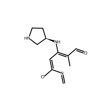 C=N/C(Cl)=C\C(N[C@@H]1CCNC1)=C(/C)C=O